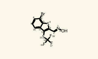 O/N=C/c1sc2c(Br)cccc2c1SC(F)(F)F